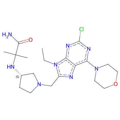 CCn1c(CN2CC[C@H](NC(C)(C)C(N)=O)C2)nc2c(N3CCOCC3)nc(Cl)nc21